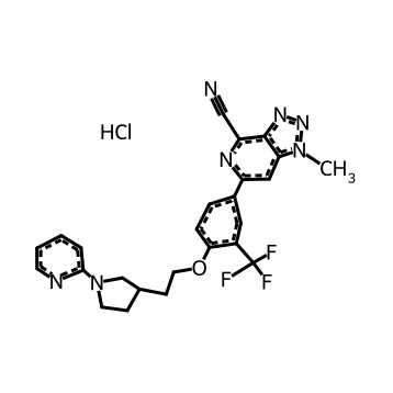 Cl.Cn1nnc2c(C#N)nc(-c3ccc(OCCC4CCN(c5ccccn5)C4)c(C(F)(F)F)c3)cc21